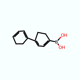 OB(O)C1=CC=C(C2=CC=CCC2)CC1